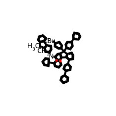 CC(C)(C)c1ccc(C2(c3ccc(-c4ccccc4)cc3)c3cc(N(c4ccc5c(c4)C(C)(C)c4ccccc4-5)c4ccccc4-c4ccccc4)ccc3-c3c(-c4ccc(-c5ccccc5)cc4)cccc32)cc1